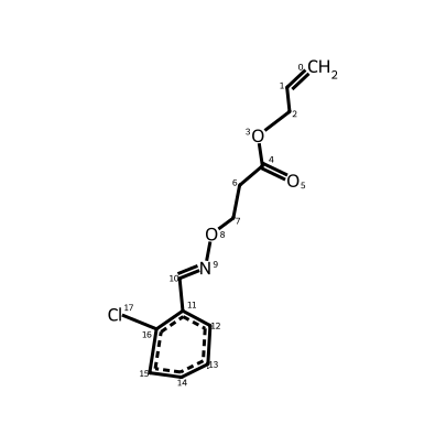 C=CCOC(=O)CCO/N=C/c1c[c]ccc1Cl